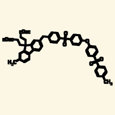 CCCCCCCCCCCCC1(CCCCCCCCCCCC)c2cc(C)ccc2-c2ccc(Cc3ccc(S(=O)(=O)c4ccc(Oc5ccc(S(=O)(=O)c6ccc(C)cc6)cc5)cc4)cc3)cc21